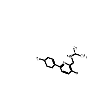 CCC1CC=C(c2ccc(F)c(CN[C@H](C)C(C)C)n2)CC1